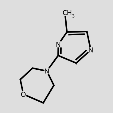 Cc1cn[c]c(N2CCOCC2)n1